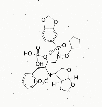 O=C(O)N([C@H]1CO[C@H]2OCC[C@H]21)[C@@H](Cc1ccccc1)[C@H](CN(OC1CCCC1)S(=O)(=O)c1ccc2c(c1)OCO2)OP(=O)(O)O